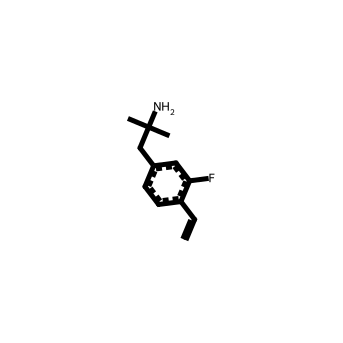 C=Cc1ccc(CC(C)(C)N)cc1F